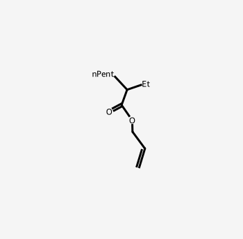 C=CCOC(=O)C(CC)CCCCC